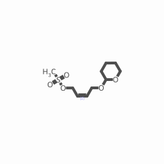 CS(=O)(=O)OC/C=C\COC1CCCCO1